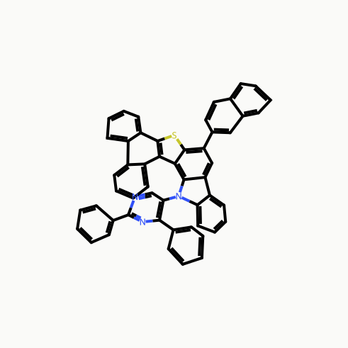 c1ccc(-c2ncc(-n3c4ccccc4c4cc(-c5ccc6ccccc6c5)c5sc6c7ccccc7c7ccccc7c6c5c43)c(-c3ccccc3)n2)cc1